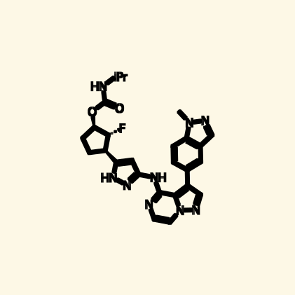 CC(C)NC(=O)O[C@@H]1CC[C@H](c2cc(Nc3nccn4ncc(-c5ccc6c(cnn6C)c5)c34)n[nH]2)[C@H]1F